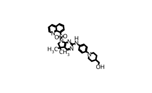 CC1(C)CN(S(=O)(=O)c2cccc3cccnc23)c2nc(Nc3ccc(N4CCC(CO)CC4)cc3)ncc21